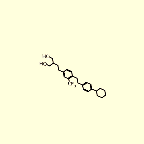 OCC(CO)CCc1ccc(CCc2ccc(C3CCCCC3)cc2)c(C(F)(F)F)c1